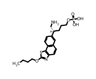 CCCCOc1nc2ccc3cc([C@H](CN)CCCOP(=O)(O)O)ccc3c2s1